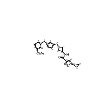 COc1cccc(Cn2cc(CN3CC(NC(=O)c4cn(C5CC5)nn4)C3)cn2)c1